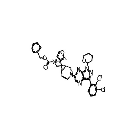 O=C(NCC1(c2ccon2)C2CCN(c3cnc4c(-c5cccc(Cl)c5Cl)nn(C5CCCCO5)c4n3)CC21)OCc1ccccc1